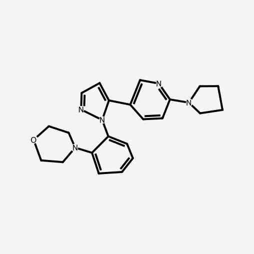 c1ccc(-n2nccc2-c2ccc(N3CCCC3)nc2)c(N2CCOCC2)c1